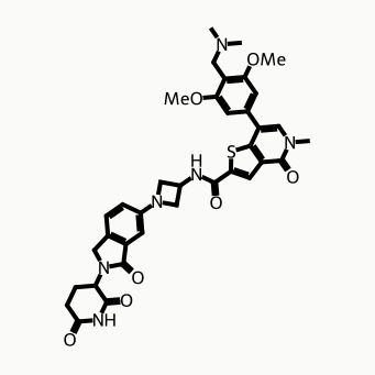 COc1cc(-c2cn(C)c(=O)c3cc(C(=O)NC4CN(c5ccc6c(c5)C(=O)N(C5CCC(=O)NC5=O)C6)C4)sc23)cc(OC)c1CN(C)C